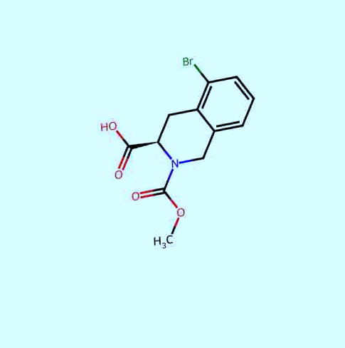 COC(=O)N1Cc2cccc(Br)c2C[C@@H]1C(=O)O